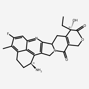 CC[C@@]1(O)C(=O)OCC2=C1CC1c3nc4cc(F)c(C)c5c4c(c3CN1C2=O)[C@@H](N)CC5